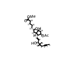 CC#CCC(C)(C)[C@H](O)/C=C/[C@@H]1[C@H]2C[C@H](CCCCC(=O)OC)O[C@H]2C[C@H]1OC(C)=O